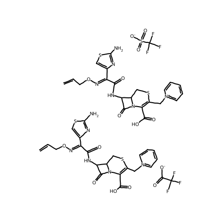 C=CCON=C(C(=O)NC1C(=O)N2C(C(=O)O)=C(C[n+]3ccccc3)SCC12)c1csc(N)n1.C=CCON=C(C(=O)NC1C(=O)N2C(C(=O)O)=C(C[n+]3ccccc3)SCC12)c1csc(N)n1.O=C([O-])C(F)(F)F.O=S(=O)([O-])C(F)(F)F